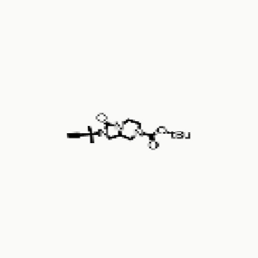 C#CC(C)(C)N1CC2CN(C(=O)OC(C)(C)C)CCN2C1=O